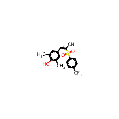 Cc1cc(/C=C(/C#N)S(=O)(=O)c2ccc(C(F)(F)F)cc2)cc(C)c1O